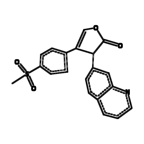 CS(=O)(=O)c1ccc(C2=COC(=O)C2c2ccc3cccnc3c2)cc1